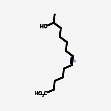 CC(O)CCCC/C=C\CCCCC(=O)O